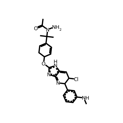 CNc1cccc(C2N=c3nc(OC4C=CC(C(C)(C)N(N)C(C)=O)=CC4)[nH]c3=CC2Cl)c1